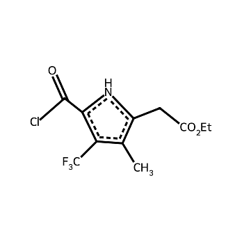 CCOC(=O)Cc1[nH]c(C(=O)Cl)c(C(F)(F)F)c1C